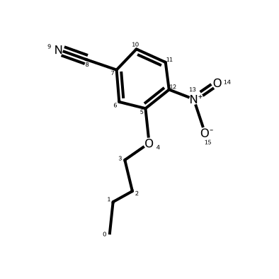 CCCCOc1cc(C#N)ccc1[N+](=O)[O-]